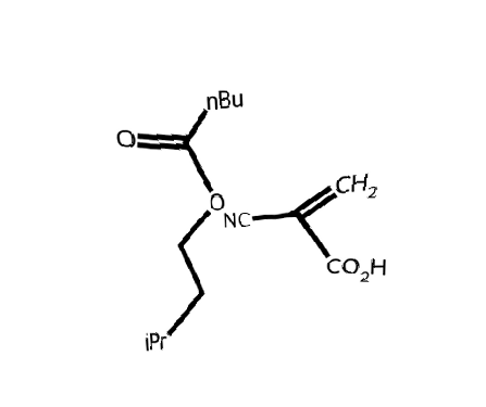 C=C(C#N)C(=O)O.CCCCC(=O)OCCC(C)C